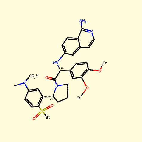 CCOc1cc([C@@H](Nc2ccc3c(N)nccc3c2)C(=O)N2CCC[C@@H]2c2cc(N(C)C(=O)O)ccc2S(=O)(=O)CC)ccc1OC(C)C